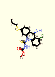 CCCSc1ccc(C(=N)c2ccccc2Cl)c(NC(=S)NC(=O)OC)c1